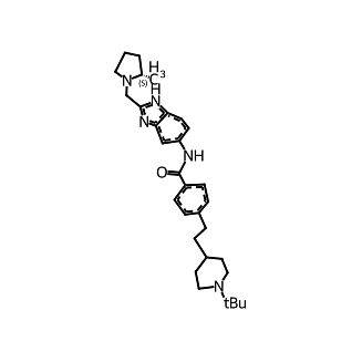 C[C@H]1CCCN1Cc1nc2cc(NC(=O)c3ccc(CCC4CCN(C(C)(C)C)CC4)cc3)ccc2[nH]1